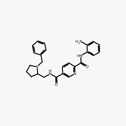 Nc1ccccc1NC(=O)c1ccc(C(=O)NCC2CCCN2Cc2ccccc2)cn1